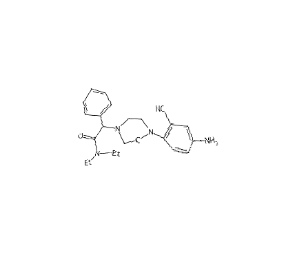 CCN(CC)C(=O)C(c1ccccc1)N1CCN(c2ccc(N)cc2C#N)CC1